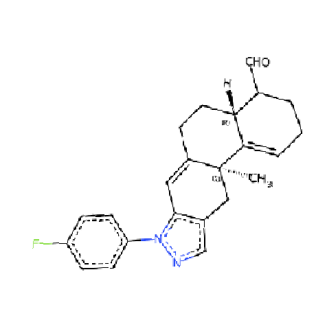 C[C@]12Cc3cnn(-c4ccc(F)cc4)c3C=C1CC[C@H]1C2=CCCC1C=O